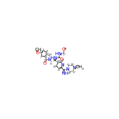 COc1ccc2c(c1)C(=O)N(C[C@H](NC(=O)NC=O)c1ccc(C(=N)N3CCN(C)CC3)nc1)C2